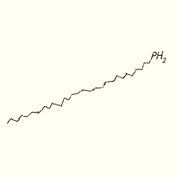 CCCCCCCCCCCCCCCCCCCCCCCCCCCCCP